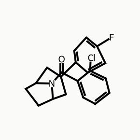 O=C(c1ccccc1Cl)N1C2CCC1CC(c1ccc(F)cc1)C2